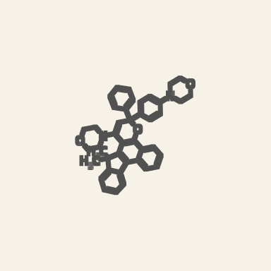 CC1(C)c2ccccc2-c2c1c1c(c3ccccc23)OC(c2ccccc2)(c2ccc(N3CCOCC3)cc2)C=C1N1CCOCC1